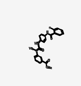 COC(=O)c1cccc(N(S)C(=O)Nc2ccc(NC(=O)c3ccccc3F)cc2)c1